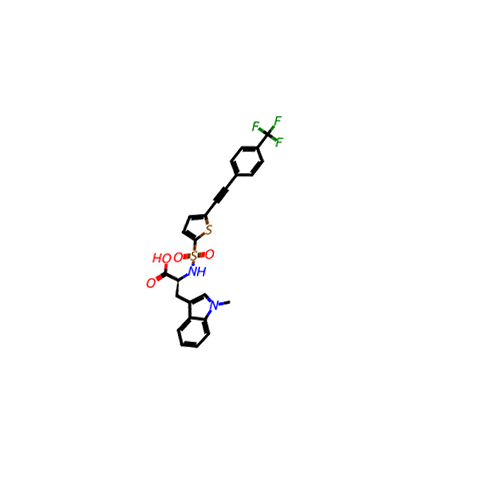 Cn1cc(C[C@H](NS(=O)(=O)c2ccc(C#Cc3ccc(C(F)(F)F)cc3)s2)C(=O)O)c2ccccc21